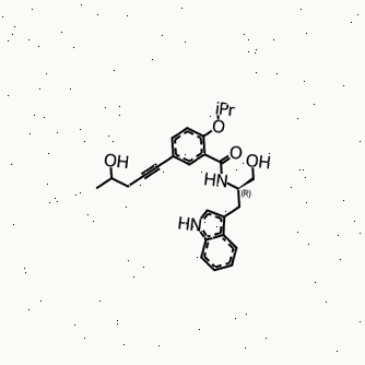 CC(O)CC#Cc1ccc(OC(C)C)c(C(=O)N[C@@H](CO)Cc2c[nH]c3ccccc23)c1